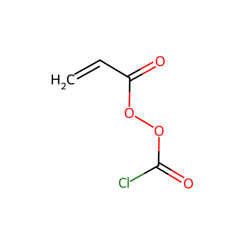 C=CC(=O)OOC(=O)Cl